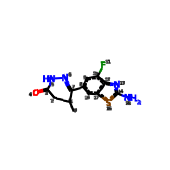 CC1CC(=O)NN=C1c1cc(F)c2nc(N)sc2c1